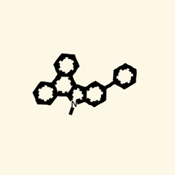 Cn1c2ccc(-c3ccccc3)cc2c2c3ccccc3c3ccccc3c21